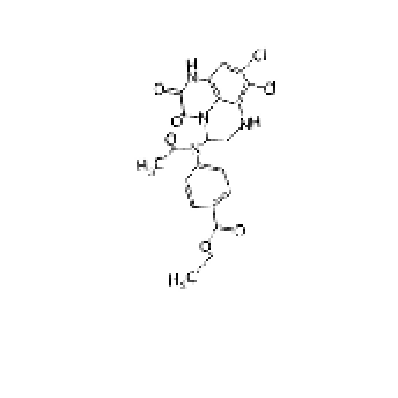 CCOC(=O)c1ccc(N(C(C)=O)C2CNc3c(Cl)c(Cl)cc4[nH]c(=O)c(=O)n2c34)cc1